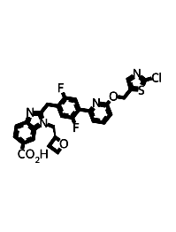 O=C(O)c1ccc2nc(Cc3cc(F)c(-c4cccc(OCc5cnc(Cl)s5)n4)cc3F)n(C[C@@H]3CCO3)c2c1